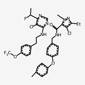 CC(F)c1ncnc(NCCc2ccc(OC(F)(F)F)cc2)c1Cl.CCc1nn(C)c(C(=O)NCc2ccc(Oc3ccc(C)cc3)cc2)c1Cl